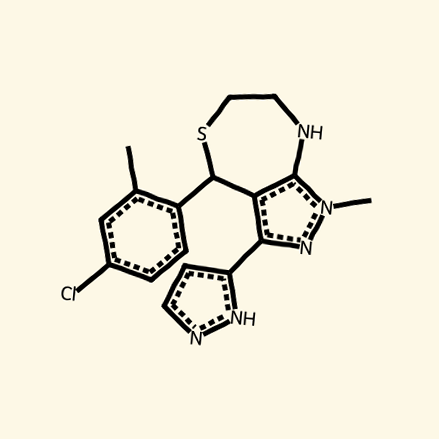 Cc1cc(Cl)ccc1C1SCCNc2c1c(-c1ccn[nH]1)nn2C